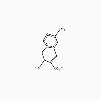 CCOC(=O)C1=Cc2cc(C)ccc2OC1C(F)(F)F